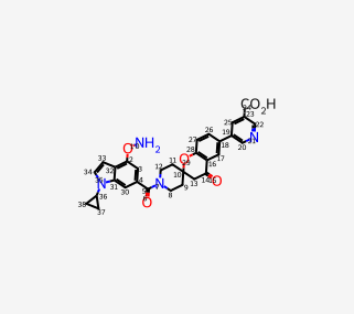 NOc1cc(C(=O)N2CCC3(CC2)CC(=O)c2cc(-c4cncc(C(=O)O)c4)ccc2O3)cc2c1ccn2C1CC1